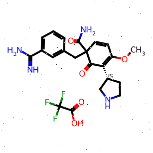 COC1=C([C@@H]2CCNC2)C(=O)C(Cc2cccc(C(=N)N)c2)(C(N)=O)C=C1.O=C(O)C(F)(F)F